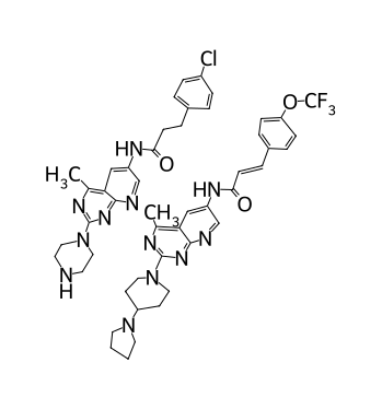 Cc1nc(N2CCC(N3CCCC3)CC2)nc2ncc(NC(=O)/C=C/c3ccc(OC(F)(F)F)cc3)cc12.Cc1nc(N2CCNCC2)nc2ncc(NC(=O)CCc3ccc(Cl)cc3)cc12